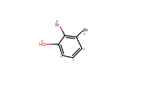 [CH2]C(C)c1cccc(O)c1Br